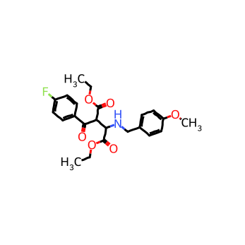 CCOC(=O)C(NCc1ccc(OC)cc1)C(C(=O)OCC)C(=O)c1ccc(F)cc1